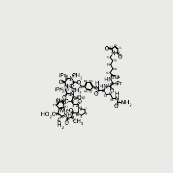 CC[C@H](C)[C@@H]([C@@H](CC(=O)N1CCC[C@H]1[C@H](OC)[C@@H](C)C(=O)N[C@H](C)[C@@H](C(=O)O)c1ccccc1)OC)N(C)C(=O)[C@@H](NC(=O)[C@H](C(C)C)N(C)C(=O)OCc1ccc(NC(=O)[C@H](CCCNC(N)=O)NC(=O)[C@@H](NC(=O)CCCCCN2C(=O)C=CC2=O)C(C)C)cc1)C(C)C